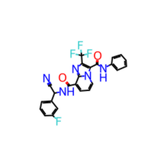 N#CC(NC(=O)c1cccn2c(C(=O)Nc3ccccc3)c(C(F)(F)F)nc12)c1cccc(F)c1